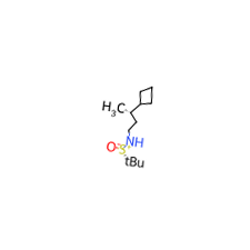 C[C@@H](CCN[S@+]([O-])C(C)(C)C)C1CCC1